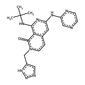 CC(C)(C)Nc1nc(Nc2cnccn2)cc2ccn(Cc3cnn[nH]3)c(=O)c12